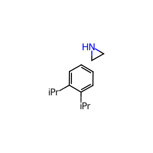 C1CN1.CC(C)c1ccccc1C(C)C